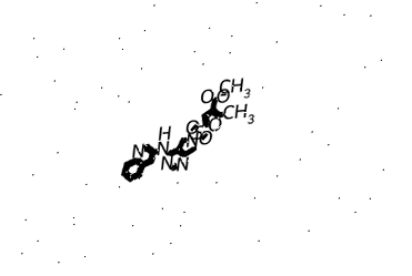 COC(=O)c1cc(S(=O)(=O)N2Cc3ncnc(Nc4cnc5ccccc5c4)c3C2)oc1C